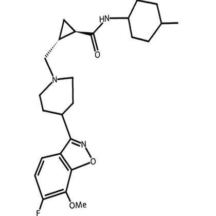 COc1c(F)ccc2c(C3CCN(C[C@@H]4C[C@H]4C(=O)NC4CCC(C)CC4)CC3)noc12